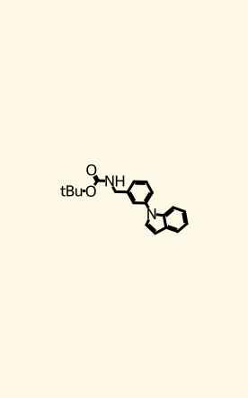 CC(C)(C)OC(=O)NCc1cccc(-n2ccc3ccccc32)c1